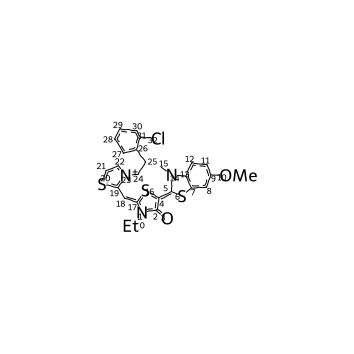 CCn1c(=O)/c(=C2\Sc3cc(OC)ccc3N2C)s/c1=C\c1scc[n+]1CCc1ccccc1Cl